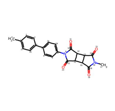 Cc1ccc(-c2ccc(N3C(=O)C4C5C(=O)N(C)C(=O)C5C4C3=O)cc2)cc1